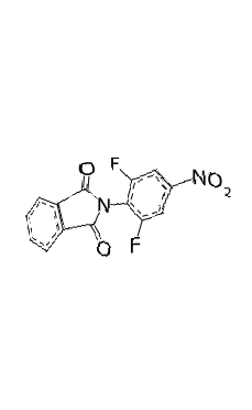 O=C1c2ccccc2C(=O)N1c1c(F)cc([N+](=O)[O-])cc1F